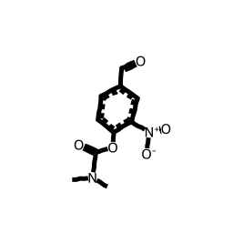 CN(C)C(=O)Oc1ccc(C=O)cc1[N+](=O)[O-]